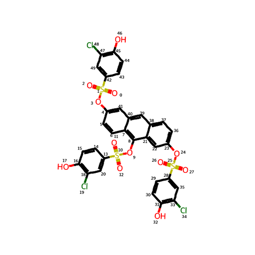 O=S(=O)(Oc1ccc2c(OS(=O)(=O)c3ccc(O)c(Cl)c3)c3cc(OS(=O)(=O)c4ccc(O)c(Cl)c4)ccc3cc2c1)c1ccc(O)c(Cl)c1